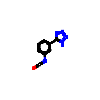 O=C=Nc1cccc(-c2nnn[nH]2)c1